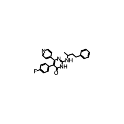 CC(CCc1ccccc1)Nc1nc(-c2ccncc2)c(-c2ccc(F)cc2)c(=O)[nH]1